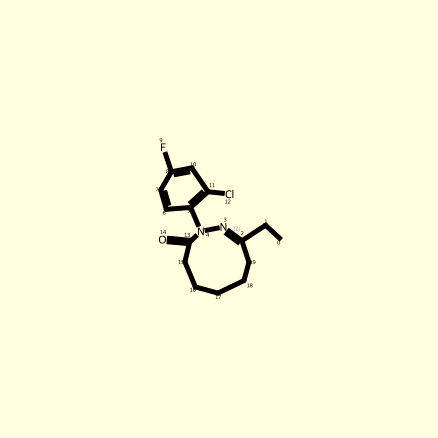 CC/C1=N/N(c2ccc(F)cc2Cl)C(=O)CCCCC1